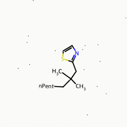 CCCCCCC(C)(C)Cc1nccs1